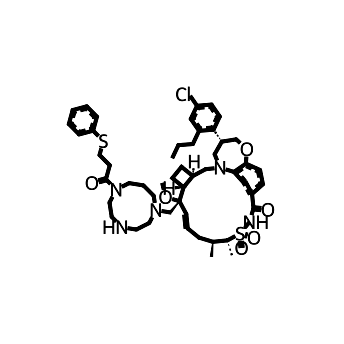 CCCc1cc(Cl)ccc1[C@@H]1COc2ccc3cc2N(C1)C[C@@H]1CC[C@H]1[C@@](CN1CCCN(C(=O)CCSc2ccccc2)CCNCC1)(OC)/C=C/C[C@H](C)[C@@H](C)S(=O)(=O)NC3=O